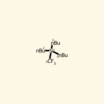 CCCC[Si](CCCC)(CCCC)C(F)(F)F